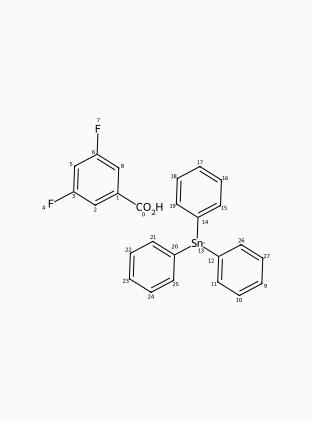 O=C(O)c1cc(F)cc(F)c1.c1cc[c]([Sn]([c]2ccccc2)[c]2ccccc2)cc1